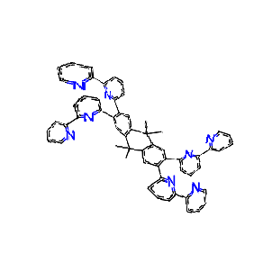 CC1(C)c2cc(-c3cccc(-c4ccccn4)n3)c(-c3cccc(-c4ccccn4)n3)cc2C(C)(C)c2cc(-c3cccc(-c4ccccn4)n3)c(-c3cccc(-c4ccccn4)n3)cc21